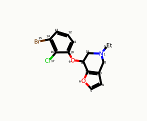 CCN1Cc2ccoc2C(Oc2cccc(Br)c2Cl)C1